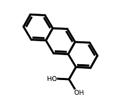 OC(O)c1cccc2cc3ccccc3cc12